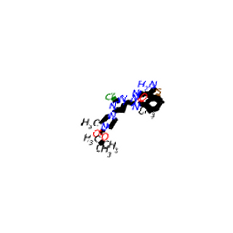 C[C@@H]1CN(c2cc(-c3noc([C@@]4(C)CCCc5sc(N)c(C#N)c54)n3)nc(Cl)n2)CCN1C(=O)OC(C)(C)C